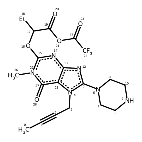 CC#CCn1c(N2CCNCC2)nc2nc(OC(CC)C(=O)OC(=O)C(F)(F)F)n(C)c(=O)c21